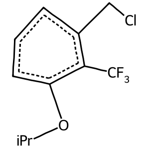 CC(C)Oc1cccc(CCl)c1C(F)(F)F